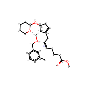 COC(=O)CCC/C=C\CC1=CC[C@H](OC2CCCCO2)[C@H]1COCc1cccc(C)c1